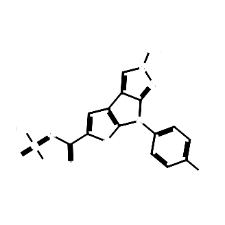 Cn1cc2c3cc(C(=O)N=S(C)(C)=O)sc3n(-c3ccc(C(F)(F)F)cc3)c2n1